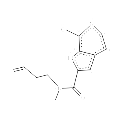 C=CCCN(C)C(=O)c1cc2ccnc(Cl)c2[nH]1